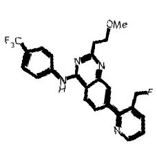 COCCc1nc(Nc2ccc(C(F)(F)F)cc2)c2ccc(-c3ncccc3CF)cc2n1